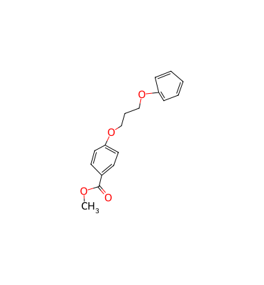 COC(=O)c1ccc(OCCCOc2ccccc2)cc1